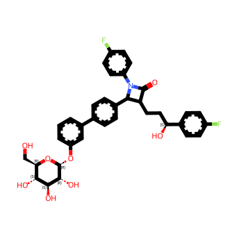 O=C1C(CC[C@H](O)c2ccc(F)cc2)C(c2ccc(-c3cccc(O[C@H]4O[C@H](CO)[C@@H](O)[C@H](O)[C@H]4O)c3)cc2)N1c1ccc(F)cc1